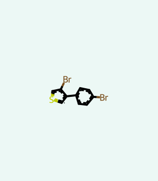 Brc1ccc(-c2[c]scc2Br)cc1